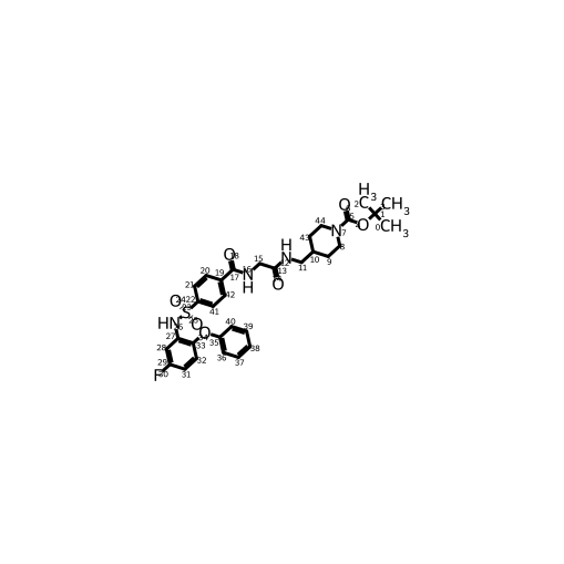 CC(C)(C)OC(=O)N1CCC(CNC(=O)CNC(=O)c2ccc(S(=O)(=O)Nc3cc(F)ccc3Oc3ccccc3)cc2)CC1